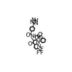 COC(=O)Oc1c(CNC(=O)c2ccc(-c3nnn(C)n3)cc2)c(=O)c2ccc(C(F)(F)F)nc2n1-c1ccccc1